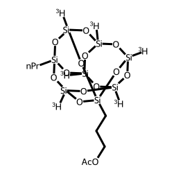 [3H][Si]12O[Si]3([3H])O[Si]4([3H])O[Si]([3H])(O1)O[Si]1(CCCOC(C)=O)O[Si]([3H])(O2)O[Si](CCC)(O3)O[Si]([3H])(O4)O1